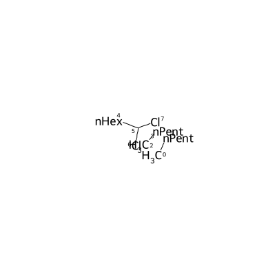 CCCCCC.CCCCCC.CCCCCCC(Cl)Cl